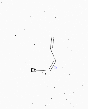 C=C/C=C\CC